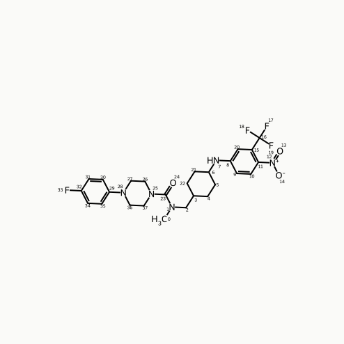 CN(CC1CCC(Nc2ccc([N+](=O)[O-])c(C(F)(F)F)c2)CC1)C(=O)N1CCN(c2ccc(F)cc2)CC1